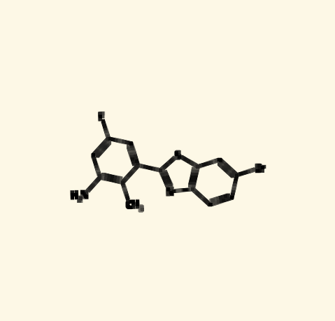 Cc1c(N)cc(F)cc1-c1nc2ccc(Br)cc2s1